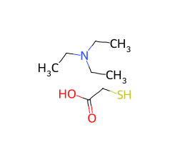 CCN(CC)CC.O=C(O)CS